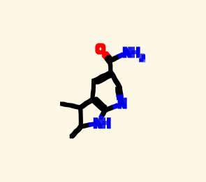 CC1Nc2ncc(C(N)=O)cc2C1C